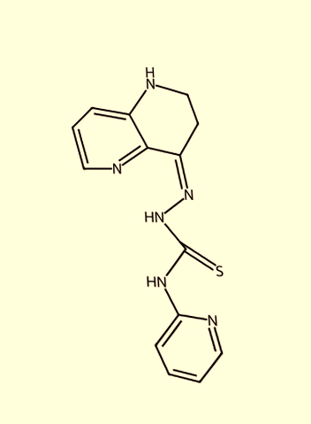 S=C(N/N=C1/CCNc2cccnc21)Nc1ccccn1